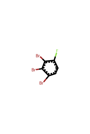 Fc1c[c]c(Br)c(Br)c1Br